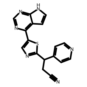 N#CCC(c1ccncc1)c1ncc(-c2ncnc3[nH]ccc23)s1